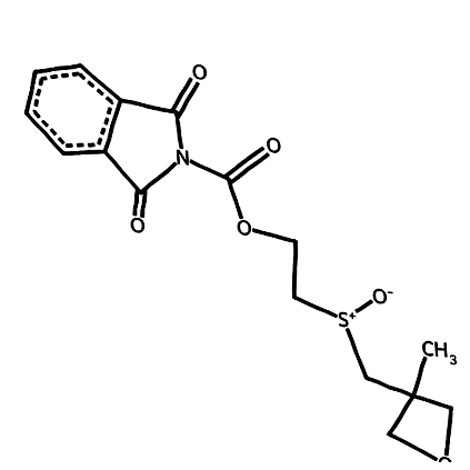 CC1(C[S+]([O-])CCOC(=O)N2C(=O)c3ccccc3C2=O)COC1